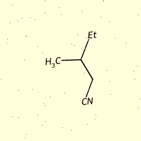 [CH2]CC(C)CC#N